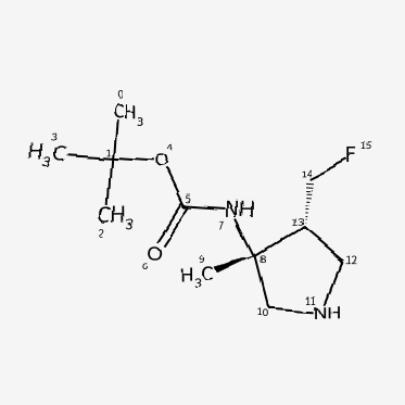 CC(C)(C)OC(=O)N[C@@]1(C)CNC[C@H]1CF